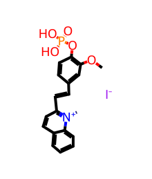 COc1cc(C=Cc2ccc3ccccc3[n+]2C)ccc1OP(=O)(O)O.[I-]